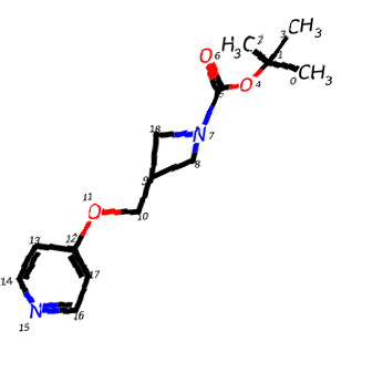 CC(C)(C)OC(=O)N1CC(COc2ccncc2)C1